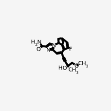 COC[C@](C)(O)C#CC1=Cc2nc(C(N)=O)cn2C2CC3C=C(F)C1=C2C3